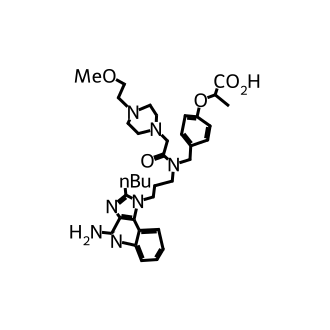 CCCCc1nc2c(N)nc3ccccc3c2n1CCCN(Cc1ccc(OC(C)C(=O)O)cc1)C(=O)CN1CCN(CCOC)CC1